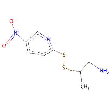 CC(CN)SSc1ccc([N+](=O)[O-])cn1